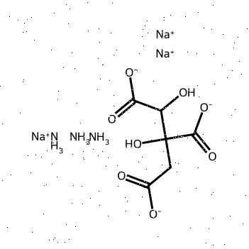 N.N.N.O=C([O-])CC(O)(C(=O)[O-])C(O)C(=O)[O-].[Na+].[Na+].[Na+]